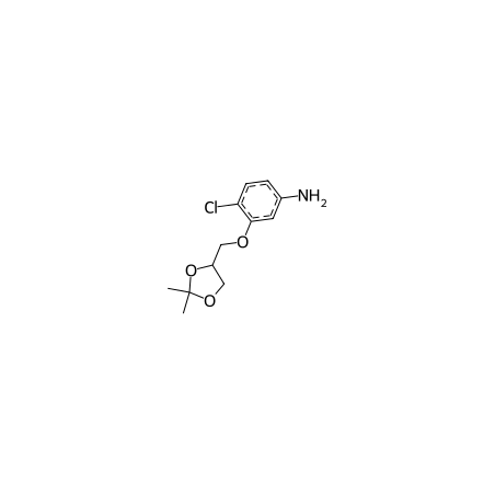 CC1(C)OCC(COc2cc(N)ccc2Cl)O1